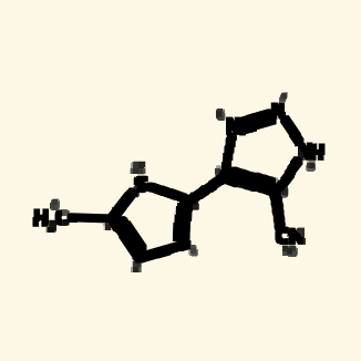 Cc1ccc(-c2nn[nH]c2C#N)s1